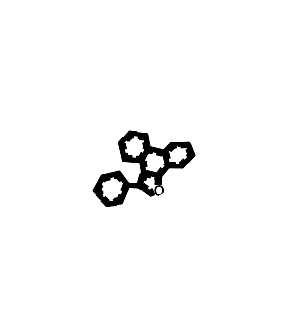 c1ccc(-c2coc3c4ccccc4c4ccccc4c23)cc1